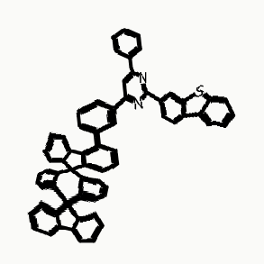 c1ccc(-c2cc(-c3cccc(-c4cccc5c4-c4ccccc4C54c5ccccc5C5(c6ccccc6-c6ccccc65)c5ccccc54)c3)nc(-c3ccc4c(c3)sc3ccccc34)n2)cc1